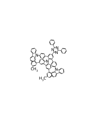 Cc1cccc(-c2ccc3c(c2)c2cc(-c4cccc(C)c4)ccc2n3-c2c(-c3ccc(-n4c5ccccc5c5ccccc54)cc3)cc(-c3nc(-c4ccccc4)nc(-c4ccccc4)n3)cc2-c2ccc(-n3c4ccccc4c4ccccc43)cc2)c1